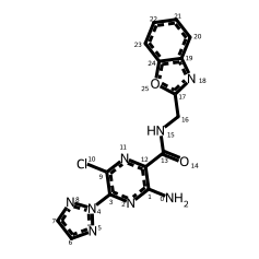 Nc1nc(-n2nccn2)c(Cl)nc1C(=O)NCc1nc2ccccc2o1